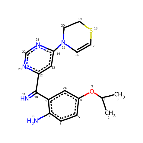 CC(C)Oc1ccc(N)c(C(=N)c2cc(N3C=CSCC3)ncn2)c1